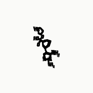 C1CCNC1.Nc1ncc(-c2cccc(S(=O)(=O)O)c2)c(N)n1